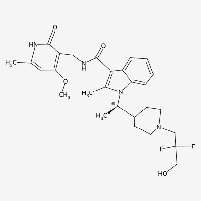 COc1cc(C)[nH]c(=O)c1CNC(=O)c1c(C)n([C@H](C)C2CCN(CC(F)(F)CO)CC2)c2ccccc12